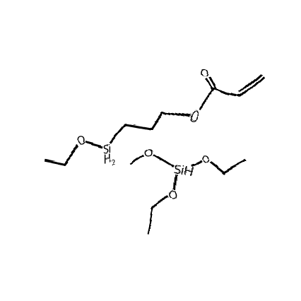 C=CC(=O)OCCC[SiH2]OCC.CCO[SiH](OC)OCC